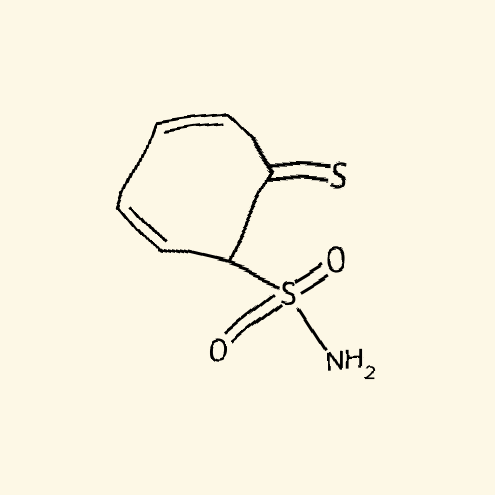 NS(=O)(=O)C1C=CC=CC1=S